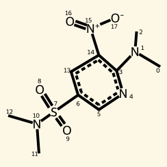 CN(C)c1ncc(S(=O)(=O)N(C)C)cc1[N+](=O)[O-]